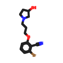 N#Cc1c(Br)cccc1OCCCN1CCC(O)C1